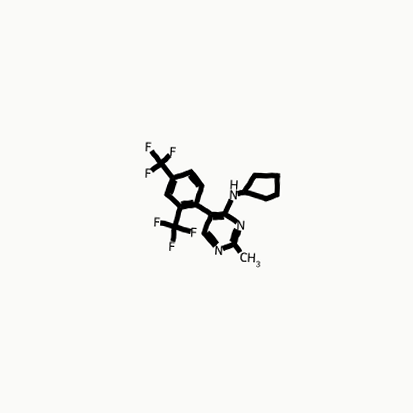 Cc1ncc(-c2ccc(C(F)(F)F)cc2C(F)(F)F)c(NC2CCCC2)n1